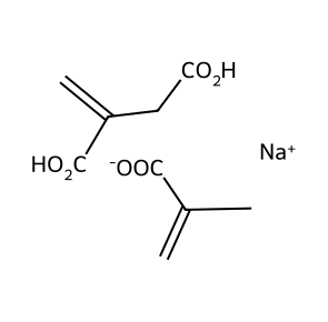 C=C(C)C(=O)[O-].C=C(CC(=O)O)C(=O)O.[Na+]